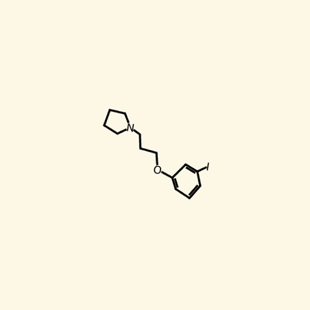 Ic1cccc(OCCCN2CCCC2)c1